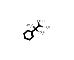 O=C(O)C(C(=O)O)C(C(=O)O)(C(=O)O)C1=CCCCC1